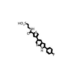 O=C(NCCS(=O)(=O)O)c1cc(-c2cnc3[nH]c(-c4ccc(F)cc4)cc3c2)cs1